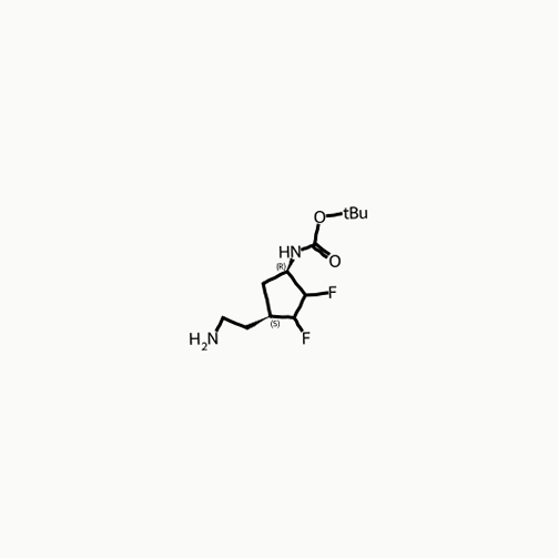 CC(C)(C)OC(=O)N[C@@H]1C[C@H](CCN)C(F)C1F